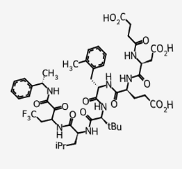 Cc1ccccc1C[C@H](NC(=O)[C@H](CCC(=O)O)NC(=O)[C@H](CC(=O)O)NC(=O)CCC(=O)O)C(=O)N[C@H](C(=O)N[C@@H](CC(C)C)C(=O)NC(CC(F)(F)F)C(=O)C(=O)N[C@@H](C)c1ccccc1)C(C)(C)C